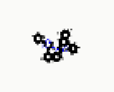 c1ccc(-c2ncc(-n3c4ccccc4c4c3c3cc5ccccc5c5c6ccccc6n4c35)c(-c3ccccc3)n2)cc1